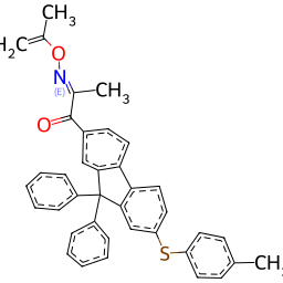 C=C(C)O/N=C(\C)C(=O)c1ccc2c(c1)C(c1ccccc1)(c1ccccc1)c1cc(Sc3ccc(C)cc3)ccc1-2